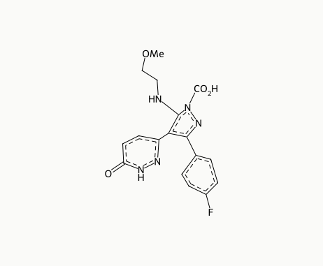 COCCNc1c(-c2ccc(=O)[nH]n2)c(-c2ccc(F)cc2)nn1C(=O)O